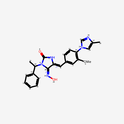 COc1cc(/C=C2\NC(=O)N(C(C)c3ccccc3)\C2=N\O)ccc1-n1cnc(C)c1